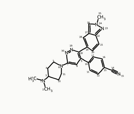 CN(C)C1CCN(c2cc(-c3ccc(C#N)cc3)c(-c3ccc4nn(C)cc4c3)nn2)CC1